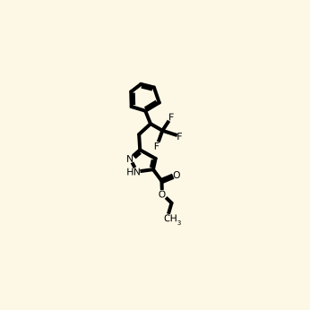 CCOC(=O)c1cc(CC(c2ccccc2)C(F)(F)F)n[nH]1